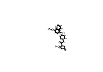 COc1ccc(NC2CCN(CC(=O)N3CC(F)CC3C#N)CC2)c2cccnc12